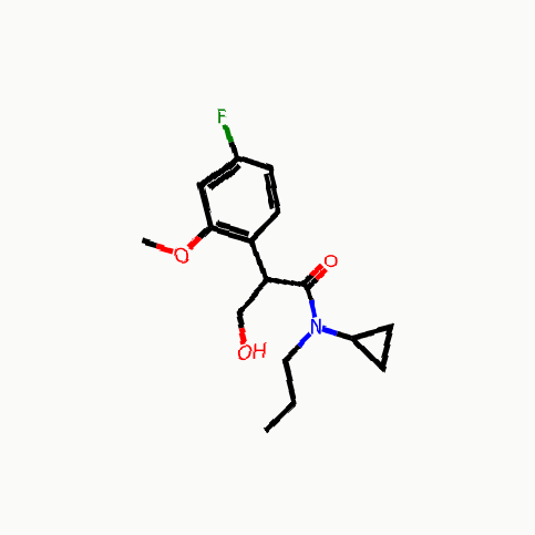 CCCN(C(=O)C(CO)c1ccc(F)cc1OC)C1CC1